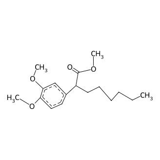 CCCCCCC(C(=O)OC)c1ccc(OC)c(OC)c1